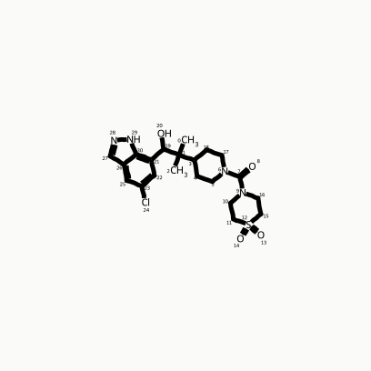 CC(C)(C1CCN(C(=O)N2CCS(=O)(=O)CC2)CC1)C(O)c1cc(Cl)cc2cn[nH]c12